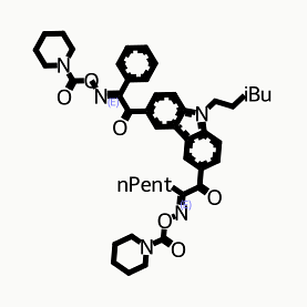 CCCCC/C(=N\OC(=O)N1CCCCC1)C(=O)c1ccc2c(c1)c1cc(C(=O)/C(=N/OC(=O)N3CCCCC3)c3ccccc3)ccc1n2CCC(C)CC